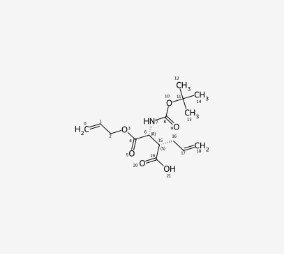 C=CCOC(=O)[C@H](NC(=O)OC(C)(C)C)[C@H](CC=C)C(=O)O